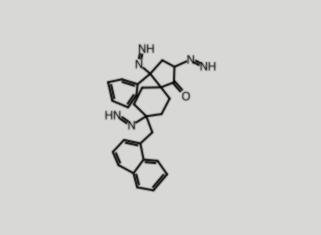 N=NC1CC(N=N)(c2ccccc2)C2(CCC(Cc3cccc4ccccc34)(N=N)CC2)C1=O